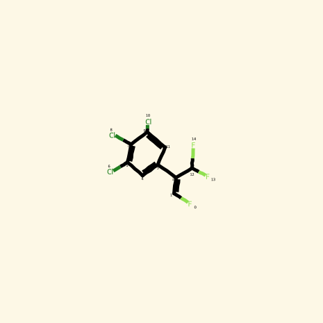 FC=C(c1cc(Cl)c(Cl)c(Cl)c1)C(F)F